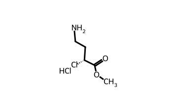 COC(=O)[C@H](Cl)CCN.Cl